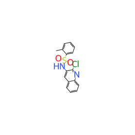 Cc1ccccc1S(=O)(=O)Nc1cc2ccccc2nc1Cl